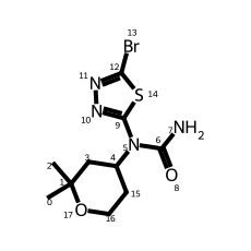 CC1(C)CC(N(C(N)=O)c2nnc(Br)s2)CCO1